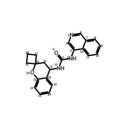 O=C(Nc1cncc2ccccc12)NC1CC2(CCC2)Oc2ccccc21